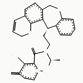 C[C@@H](N(CC[C@@H]1c2ccccc2SCc2ccc3c(c21)OCC=C3)C(=O)c1c(O)c(=O)ccn1N)C(F)(F)F